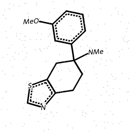 CNC1(c2cccc(OC)c2)CCc2ncsc2C1